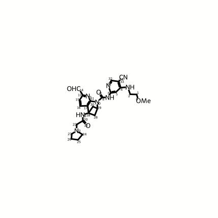 COCCNc1cc(NC(=O)N2c3nc(C=O)ccc3C3(NC(=O)CN4CCCC4)CC2C3)ncc1C#N